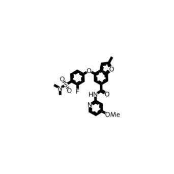 COc1ccnc(NC(=O)c2cc(Oc3ccc(S(=O)(=O)N(C)C)c(F)c3)c3cc(C)oc3c2)c1